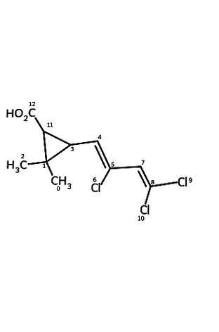 CC1(C)C(C=C(Cl)C=C(Cl)Cl)C1C(=O)O